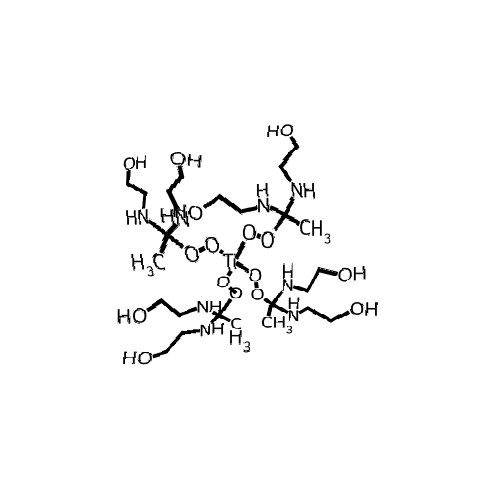 CC(NCCO)(NCCO)O[O][Ti]([O]OC(C)(NCCO)NCCO)([O]OC(C)(NCCO)NCCO)[O]OC(C)(NCCO)NCCO